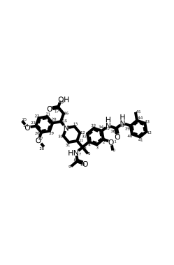 COc1cc(C(C)(NC(C)=O)C2CCN(C(CC(=O)O)c3ccc(OC)c(OC)c3)CC2)ccc1NC(=O)Nc1ccccc1C